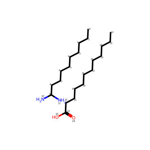 CCCCCCCCCC(N)N.CCCCCCCCCCCC(=O)O